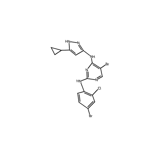 Clc1cc(Br)ccc1Nc1ncc(Br)c(Nc2cc(C3CC3)[nH]n2)n1